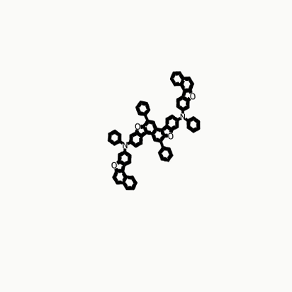 c1ccc(-c2cc3c(cc(-c4ccccc4)c4oc5cc(N(c6ccccc6)c6ccc7c(c6)oc6ccc8ccccc8c67)ccc5c43)c3c2oc2cc(N(c4ccccc4)c4ccc5c(c4)oc4ccc6ccccc6c45)ccc23)cc1